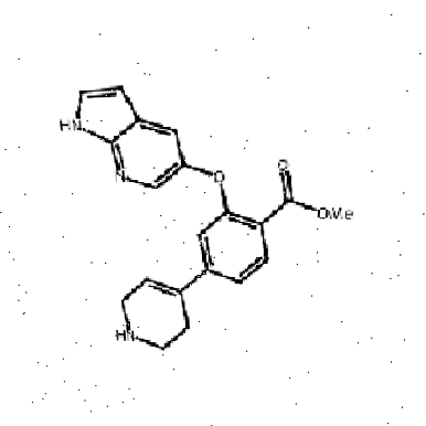 COC(=O)c1ccc(C2=CCNCC2)cc1Oc1cnc2[nH]ccc2c1